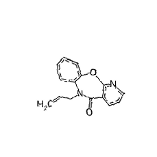 C=CCN1C(=O)c2cccnc2Oc2ccccc21